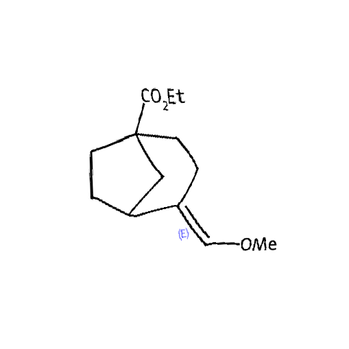 CCOC(=O)C12CC/C(=C\OC)C(CC1)C2